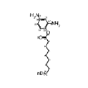 CCCCCCCCCCCCCCCCCC(=O)Oc1ccc(N)cc1N